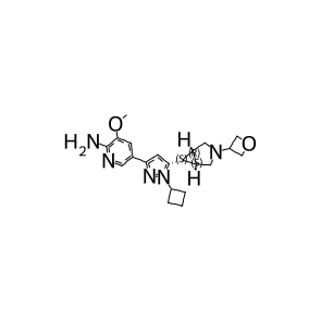 COc1cc(-c2cc([C@@H]3[C@@H]4CN(C5COC5)C[C@@H]43)n(C3CCC3)n2)cnc1N